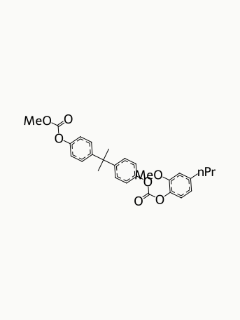 CCCc1ccc(OC(=O)Oc2ccc(C(C)(C)c3ccc(OC(=O)OC)cc3)cc2)c(OC)c1